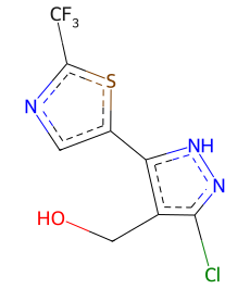 OCc1c(Cl)n[nH]c1-c1cnc(C(F)(F)F)s1